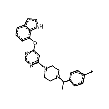 CC(c1ccc(F)cc1)N1CCN(c2cc(Oc3cccc4cc[nH]c34)ncn2)CC1